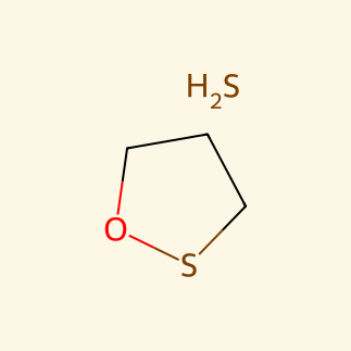 C1COSC1.S